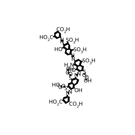 Nc1c(N=Nc2ccc3c(O)c(N=Nc4cc(C(=O)O)cc(C(=O)O)c4)c(S(=O)(=O)O)cc3c2S(=O)(=O)O)cc(S(=O)(=O)O)c2cc(SOOO)c(N=Nc3ccc4c(O)c(N=Nc5cc(C(=O)O)cc(C(=O)O)c5)c(SOOO)cc4c3SOOO)c(O)c12